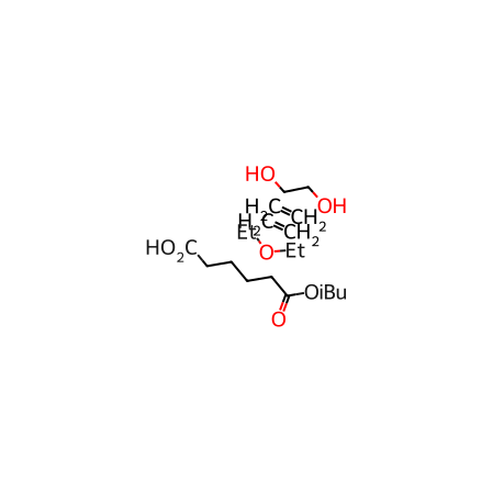 C=C.C=C.CC(C)COC(=O)CCCCC(=O)O.CCOCC.OCCO